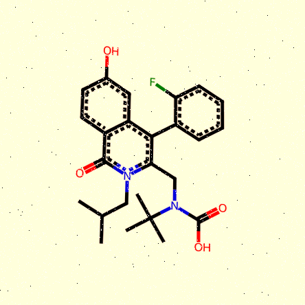 CC(C)Cn1c(CN(C(=O)O)C(C)(C)C)c(-c2ccccc2F)c2cc(O)ccc2c1=O